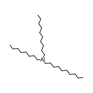 CCCCCCCCC[CH2][Al]([CH2]CCCCCCC)[CH2]CCCCCCCCC